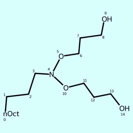 CCCCCCCCCCCN(OCCCO)OCCCO